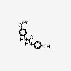 Cc1ccc(NC(=O)Nc2ccc(OC(C)C)cc2)cc1